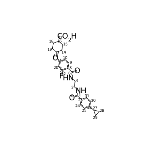 O=C(NCCNC(=O)c1ccc(O[C@H]2CC[C@@H](C(=O)O)CC2)cc1F)c1ccc(C2CC2)cc1